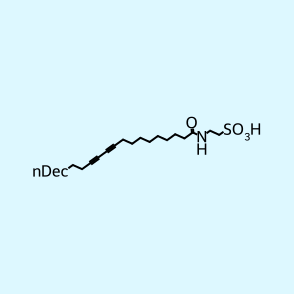 CCCCCCCCCCCCC#CC#CCCCCCCCCC(=O)NCCS(=O)(=O)O